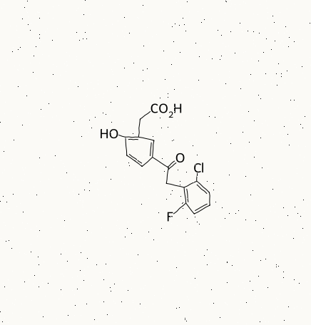 O=C(O)Cc1cc(C(=O)Cc2c(F)cccc2Cl)ccc1O